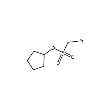 CC(C)CS(=O)(=O)OC1CCCC1